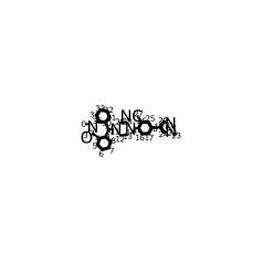 CN1C(=O)c2ccccc2C(N2CCN(c3ccc(-c4cnn(C)c4)cc3C#N)CC2)c2ccccc21